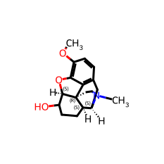 COc1ccc2c3c1O[C@@H]1C(O)CC[C@@H]4[C@H](C2)N(C)CC[C@@]314